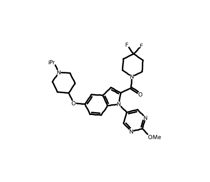 COc1ncc(-n2c(C(=O)N3CCC(F)(F)CC3)cc3cc(OC4CCN(C(C)C)CC4)ccc32)cn1